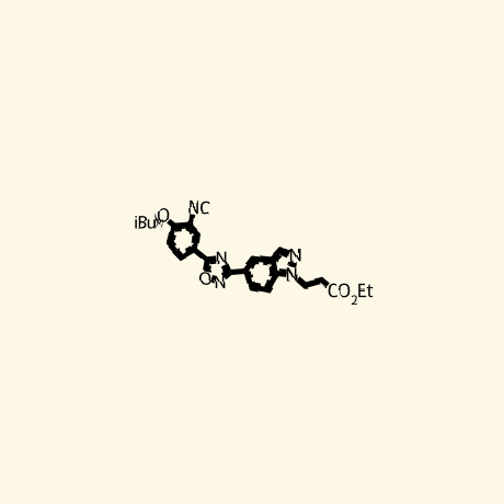 [C-]#[N+]c1cc(-c2nc(-c3ccc4c(cnn4CCC(=O)OCC)c3)no2)ccc1O[C@H](C)CC